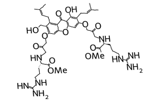 COC(=O)[C@H](CCCNC(=N)N)NCC(=O)COc1cc2oc3cc(OCC(=O)CN[C@@H](CCCNC(=N)N)C(=O)OC)c(CO)c(CC=C(C)C)c3c(=O)c2c(O)c1CC=C(C)C